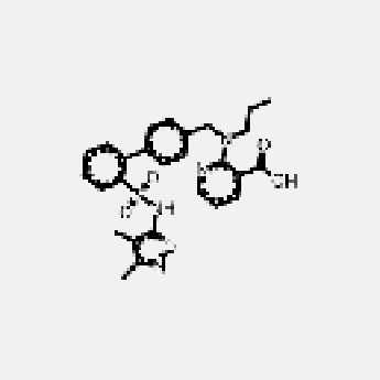 CCCN(Cc1ccc(-c2ccccc2S(=O)(=O)Nc2onc(C)c2C)cc1)c1ncccc1C(=O)O